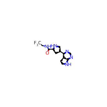 O=C(NCC(F)(F)F)c1cc(-c2ncnc3[nH]ccc23)c[nH]1